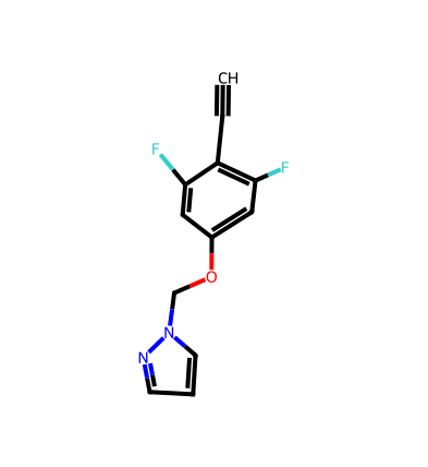 C#Cc1c(F)cc(OCn2cccn2)cc1F